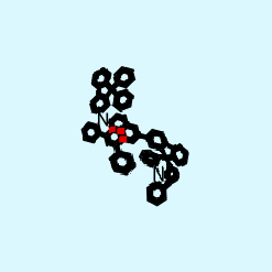 c1ccc(-c2cccc(-c3ccccc3N(c3ccc4c(c3)C(c3ccccc3)(c3ccccc3)c3ccccc3-4)c3ccc4cc(-c5ccc6c(c5)C5(c7ccccc7-6)c6ccccc6-n6c7ccccc7c7cccc5c76)ccc4c3)c2)cc1